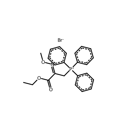 CCOC(=O)C(C[P+](c1ccccc1)(c1ccccc1)c1ccccc1)=NOC.[Br-]